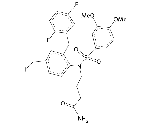 COc1ccc(S(=O)(=O)N(CCCC(N)=O)c2ccc(CI)cc2Cc2cc(F)ccc2F)cc1OC